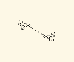 Oc1cc(OCCCCCCCCCCOc2ccc(OC(F)(F)F)c(O)c2)ccc1OC(F)(F)F